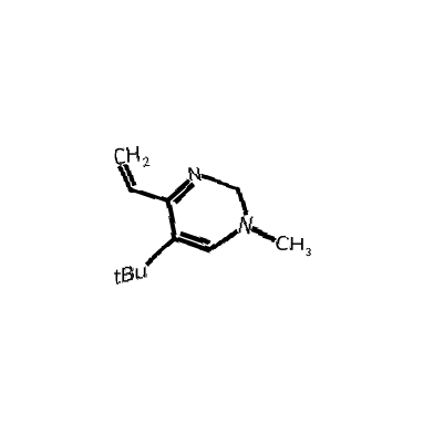 C=CC1=NCN(C)C=C1C(C)(C)C